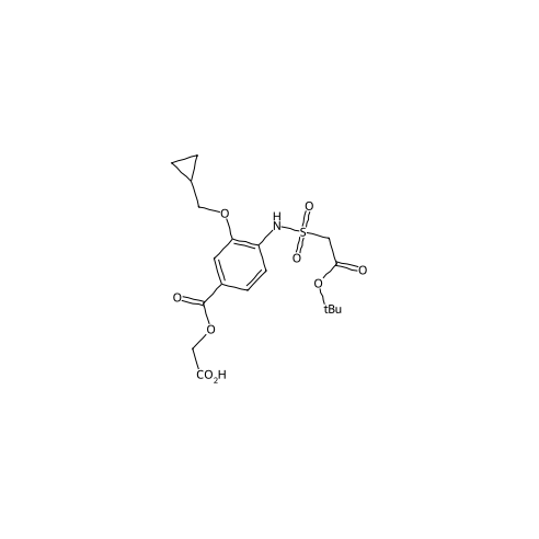 CC(C)(C)OC(=O)CS(=O)(=O)Nc1ccc(C(=O)OCC(=O)O)cc1OCC1CC1